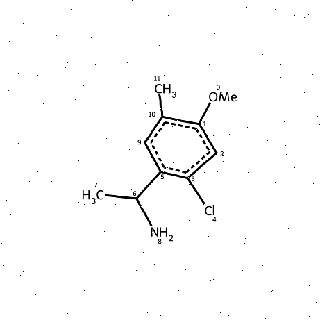 COc1cc(Cl)c(C(C)N)cc1C